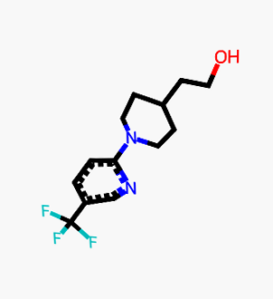 OCCC1CCN(c2ccc(C(F)(F)F)cn2)CC1